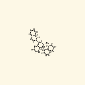 Fc1cc(-c2ccc3ccccc3c2)c2ccccc2c1-c1cccc2ccccc12